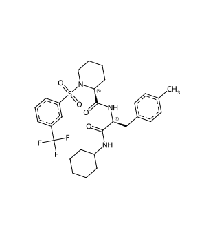 Cc1ccc(C[C@H](NC(=O)[C@@H]2CCCCN2S(=O)(=O)c2cccc(C(F)(F)F)c2)C(=O)NC2CCCCC2)cc1